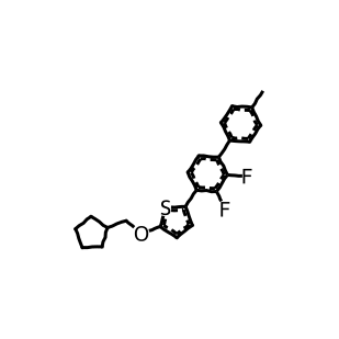 Cc1ccc(-c2ccc(-c3ccc(OCC4CCCC4)s3)c(F)c2F)cc1